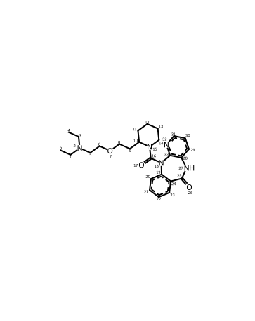 CCN(CC)CCOCCC1CCCCN1C(=O)N1c2ccccc2C(=O)Nc2cccnc21